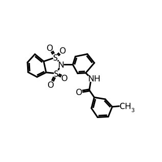 Cc1cccc(C(=O)Nc2cccc(N3S(=O)(=O)c4ccccc4S3(=O)=O)c2)c1